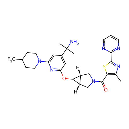 Cc1nc(-c2ncccn2)sc1C(=O)N1C[C@@H]2C(Oc3cc(C(C)(C)N)cc(N4CCC(C(F)(F)F)CC4)n3)[C@@H]2C1